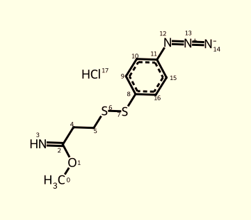 COC(=N)CCSSc1ccc(N=[N+]=[N-])cc1.Cl